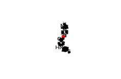 CSc1ccc(NC2CCN(C(=O)CCCN3CCN(c4ccc(C)nc4)CC3)CC2)cc1